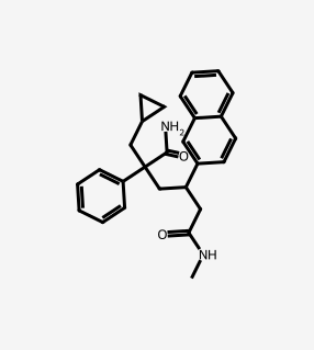 CNC(=O)CC(CC(CC1CC1)(C(N)=O)c1ccccc1)c1ccc2ccccc2c1